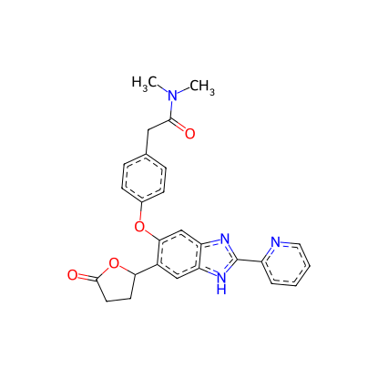 CN(C)C(=O)Cc1ccc(Oc2cc3nc(-c4ccccn4)[nH]c3cc2C2CCC(=O)O2)cc1